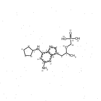 CC(Cn1cnc2c(NC3CCCC3)nc(N)nc21)OCP(=O)(O)O